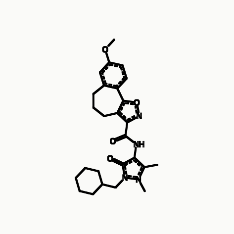 COc1ccc2c(c1)CCCc1c(C(=O)Nc3c(C)n(C)n(CC4CCCCC4)c3=O)noc1-2